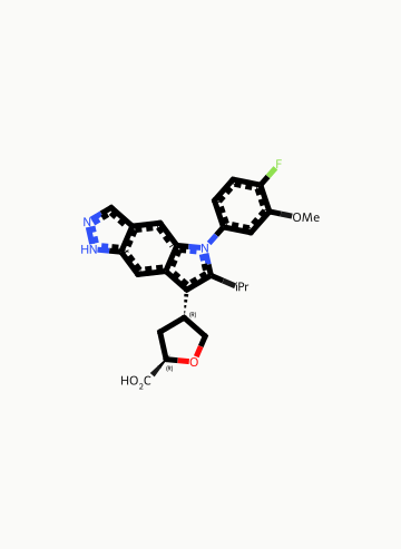 COc1cc(-n2c(C(C)C)c([C@@H]3CO[C@@H](C(=O)O)C3)c3cc4[nH]ncc4cc32)ccc1F